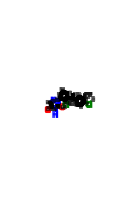 CC(C#N)(c1ccc(Cl)c(C(F)(F)F)c1)c1cccc(-n2ncc(=O)[nH]c2=O)c1Cl